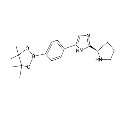 CC1(C)OB(c2ccc(-c3cnc([C@H]4CCCN4)[nH]3)cc2)OC1(C)C